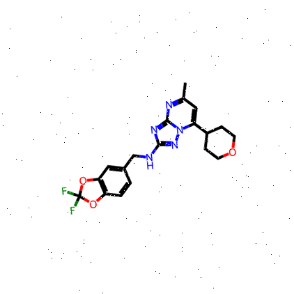 Cc1cc(C2CCOCC2)n2nc(NCc3ccc4c(c3)OC(F)(F)O4)nc2n1